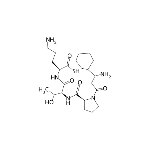 CC(O)[C@H](NC(=O)[C@@H]1CCCN1C(=O)CC(N)C1CCCCC1)C(=O)N[C@@H](CCCN)C(=O)S